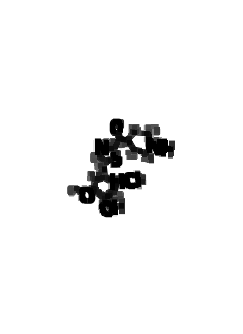 COc1cc(-c2cnc(C(=O)C3CCNCC3)s2)ccc1O.Cl